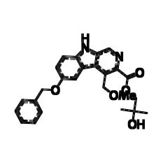 COCc1c(C(=O)OCC(C)(C)O)ncc2[nH]c3ccc(OCc4ccccc4)cc3c12